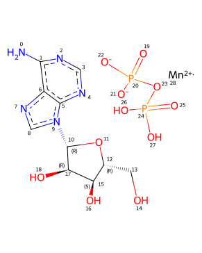 Nc1ncnc2c1ncn2[C@@H]1O[C@H](CO)[C@@H](O)[C@H]1O.O=P([O-])([O-])OP(=O)(O)O.[Mn+2]